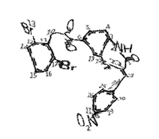 O=C1Nc2ccc(S(=O)(=O)Cc3c(Br)cccc3Br)cc2SC1=Cc1ccc([N+](=O)[O-])cc1